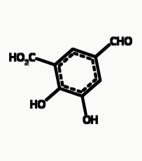 O=Cc1cc(O)c(O)c(C(=O)O)c1